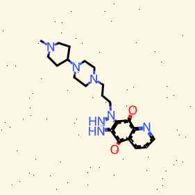 CN1CCC(N2CCN(CCCn3[nH][nH]c4c(=O)c5cccnc5c(=O)c3=4)CC2)CC1